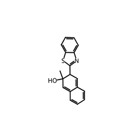 CC1(O)C=c2ccccc2=CC1c1nc2ccccc2s1